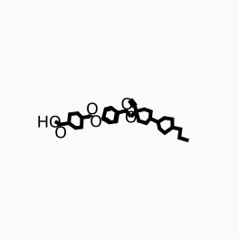 C#CC1(OC(=O)c2ccc(OC(=O)C3CCC(C(=O)O)CC3)cc2)CCC(C2CCC(CCC)CC2)CC1